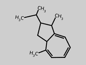 CC1=CC=CC=C2C1CC(C(C)C)C2C